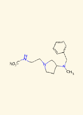 CN(Cc1ccccc1)C1CCN(CCNC(=O)O)C1